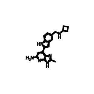 Cc1nc2c(-c3cc4cc(CNC5CCC5)ccc4[nH]3)cc(N)nc2[nH]1